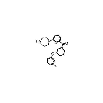 Cc1cccc(O[C@H]2CCCN(C(=O)c3cccc(N4CCCNCC4)n3)C2)c1